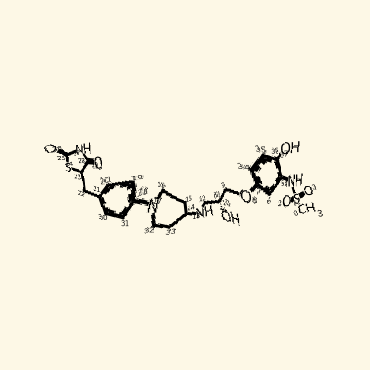 CS(=O)(=O)Nc1cc(OC[C@H](O)CNC2CCN(c3ccc(CC4SC(=O)NC4=O)cc3)CC2)ccc1O